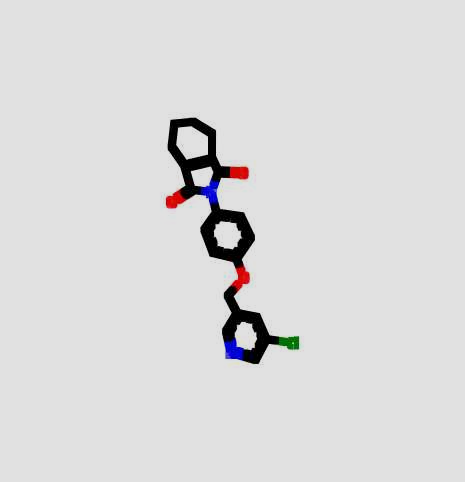 O=C1C2=C(CCCC2)C(=O)N1c1ccc(OCc2cncc(Cl)c2)cc1